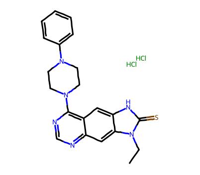 CCn1c(=S)[nH]c2cc3c(N4CCN(c5ccccc5)CC4)ncnc3cc21.Cl.Cl